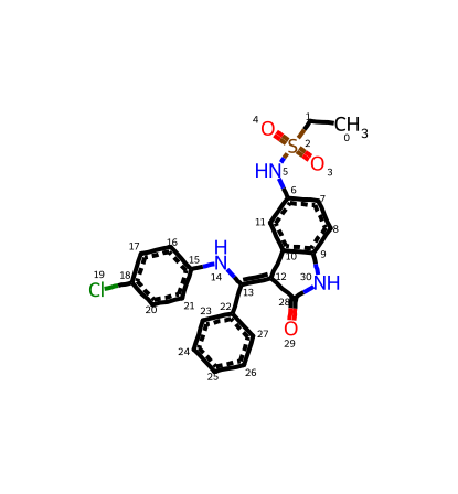 CCS(=O)(=O)Nc1ccc2c(c1)/C(=C(\Nc1ccc(Cl)cc1)c1ccccc1)C(=O)N2